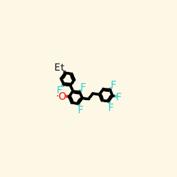 CCc1ccc(-c2c([O])cc(F)c(CCc3cc(F)c(F)c(F)c3)c2F)c(F)c1